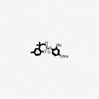 COc1ccc(OP2(=O)NCC(C)(C)c3cc(C)ccc3O2)c(C(C)(C)C)c1